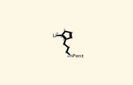 [Li][C]1=C(CCCCCCCC)C=CC1